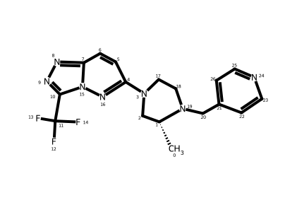 C[C@@H]1CN(c2ccc3nnc(C(F)(F)F)n3n2)CCN1Cc1ccncc1